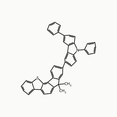 CC1(C)c2cc(-c3ccc4c(c3)c3cc(-c5ccccc5)ccc3n4-c3ccccc3)ccc2-c2c1ccc1c2sc2ccccc21